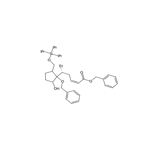 CC[C@H](CC=CC(=O)OCc1ccccc1)C1(OCc2ccccc2)C(O)CCC1CO[Si](C(C)C)(C(C)C)C(C)C